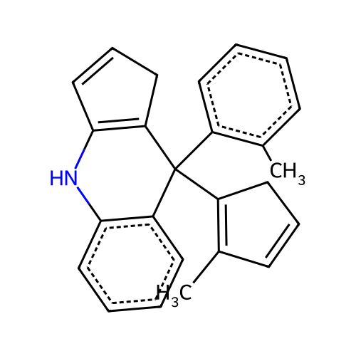 CC1=C(C2(c3ccccc3C)C3=C(C=CC3)Nc3ccccc32)CC=C1